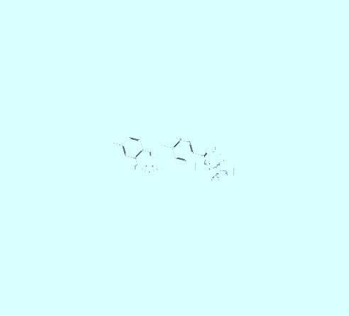 COc1cc(Cl)ccc1OCc1ccc(C(=O)NS(C)(=O)=O)cc1